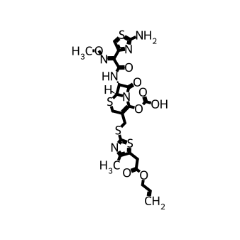 C=CCOC(=O)Cc1sc(SCC2=C(OC(=O)O)N3C(=O)[C@@H](NC(=O)C(=NOC)c4csc(N)n4)[C@@H]3SC2)nc1C